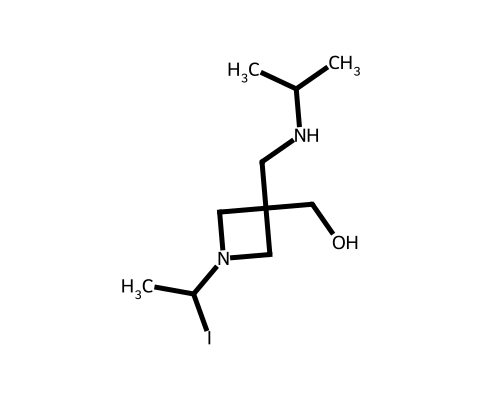 CC(C)NCC1(CO)CN(C(C)I)C1